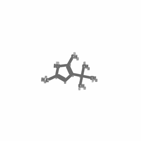 Cc1cc(C(C)(C)C)c(C)[nH]1